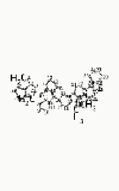 C=CC(CC(=C)c1c2ccccc2c(-c2ccc3c(c2)-c2ccc4c(ccc5sc6ccccc6c54)c2C3(C)C)c2ccccc12)c1ccccc1